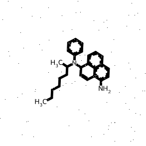 CCCCCCC(C)N(c1ccccc1)C1C=Cc2c(N)ccc3cccc1c23